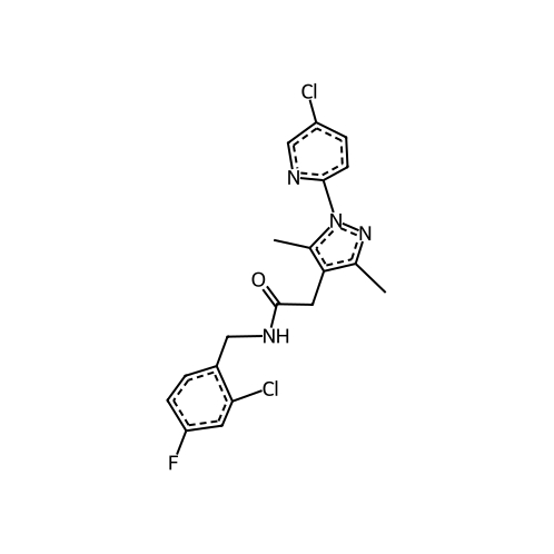 Cc1nn(-c2ccc(Cl)cn2)c(C)c1CC(=O)NCc1ccc(F)cc1Cl